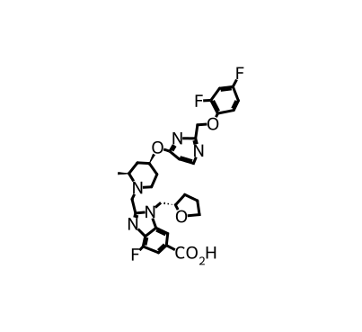 C[C@H]1C[C@@H](Oc2ccnc(COc3ccc(F)cc3F)n2)CCN1Cc1nc2c(F)cc(C(=O)O)cc2n1C[C@@H]1CCCO1